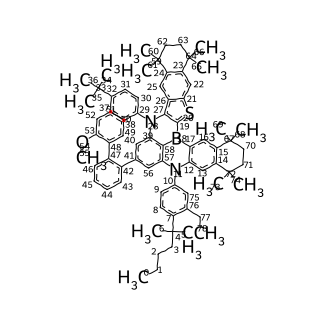 CCCCC(C)(C)c1ccc(N2c3cc4c(cc3B3c5sc6cc7c(cc6c5N(c5ccc(C(C)(C)C)cc5)c5cc(-c6ccccc6-c6ccccc6OC)cc2c53)C(C)(C)CCC7(C)C)C(C)(C)CCC4(C)C)cc1CC